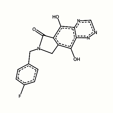 O=C1c2c(c(O)c3nncnc3c2O)CN1Cc1ccc(F)cc1